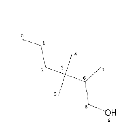 CCCC(C)(C)C(C)CO